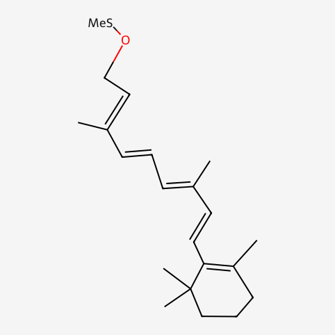 CSOCC=C(C)C=CC=C(C)C=CC1=C(C)CCCC1(C)C